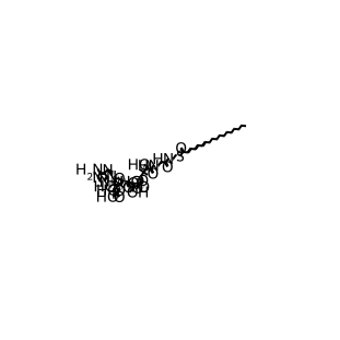 CCCCCCCCCCCC=CC=CC=CC(=O)SCCNC(=O)CCNC(=O)[C@H](O)C(C)(C)COP(=O)(O)OP(=O)(O)OC[C@H]1O[C@@H](n2cnc3c(N)ncnc32)[C@H](O)[C@@H]1OP(=O)(O)O